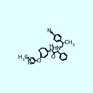 C[C@@H](CNC(C(=O)NC1=C/CC/C=C(Oc2cnn(C)c2)/C=C\1)c1ccccc1)c1ccc(C#N)cc1